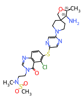 C[C@@H]1OCC2(CCN(c3cnc(Sc4ccc5ncn(CCN(C)S(C)(=O)=O)c(=O)c5c4Cl)cn3)CC2)[C@@H]1N